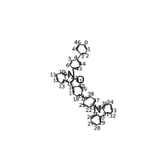 c1ccc(-c2ccc(-n3c4ccccc4c4c5ccc(-c6ccc(-n7c8ccccc8c8ccccc87)cc6)cc5oc43)cc2)cc1